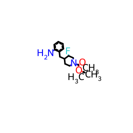 CC(C)(C)OC(=O)N1CCC(Cc2ccccc2N)C(F)C1